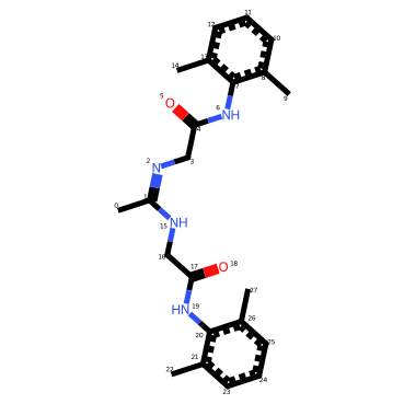 CC(=NCC(=O)Nc1c(C)cccc1C)NCC(=O)Nc1c(C)cccc1C